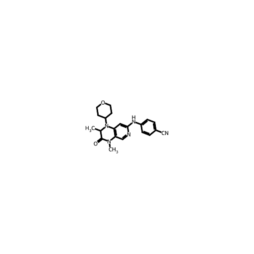 CC1C(=O)N(C)c2cnc(Nc3ccc(C#N)cc3)cc2N1C1CCOCC1